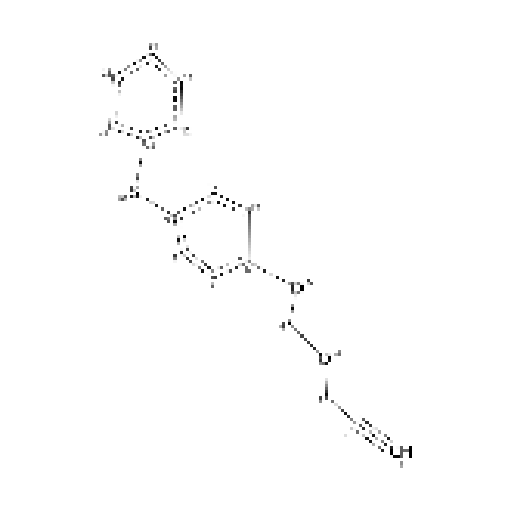 C#CCOCOc1ccc(Sc2ccccc2)cc1